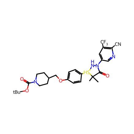 CC(C)(C)OC(=O)N1CCC(COc2ccc([SH]3NN(c4cnc(C#N)c(C(F)(F)F)c4)C(=O)C3(C)C)cc2)CC1